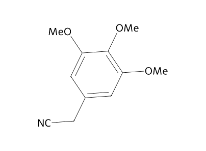 COc1cc(CC#N)cc(OC)c1OC